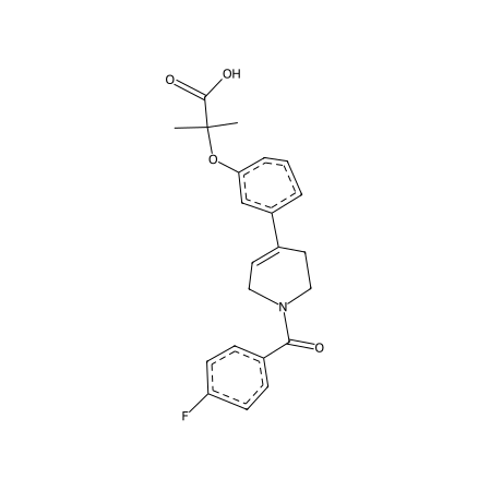 CC(C)(Oc1cccc(C2=CCN(C(=O)c3ccc(F)cc3)CC2)c1)C(=O)O